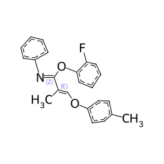 CC(=C\Oc1ccc(C)cc1)/C(=N/c1ccccc1)Oc1ccccc1F